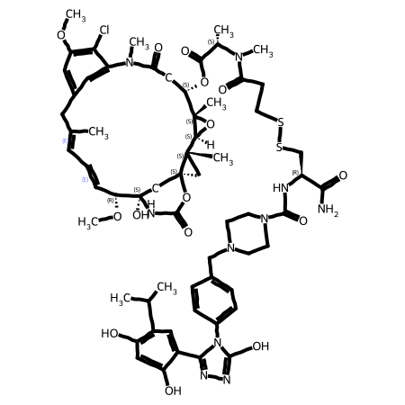 COc1cc2cc(c1Cl)N(C)C(=O)C[C@H](OC(=O)[C@H](C)N(C)C(=O)CCSSC[C@H](NC(=O)N1CCN(Cc3ccc(-n4c(O)nnc4-c4cc(C(C)C)c(O)cc4O)cc3)CC1)C(N)=O)[C@]1(C)O[C@H]1[C@]1(C)C[C@]13C[C@@](O)(NC(=O)O3)[C@H](OC)/C=C/C=C(\C)C2